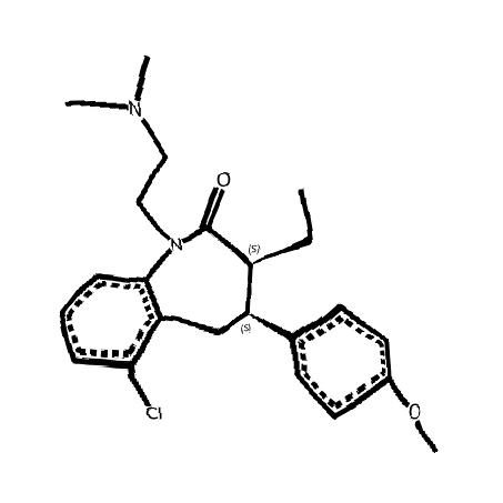 CC[C@@H]1C(=O)N(CCN(C)C)c2cccc(Cl)c2C[C@@H]1c1ccc(OC)cc1